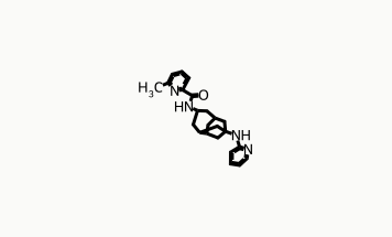 Cc1cccc(C(=O)NC2CC3CC4CC(Nc5ccccn5)(C3)CC4C2)n1